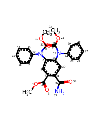 COC(=O)c1cc(N(C(=O)OC)c2ccccc2)c(N(C(=O)OC)c2ccccc2)cc1C(N)=O